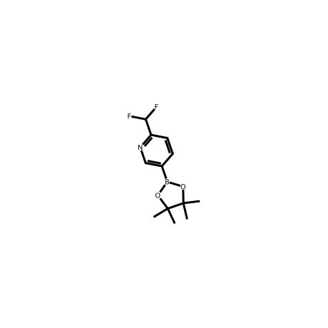 CC1(C)OB(c2ccc(C(F)F)nc2)OC1(C)C